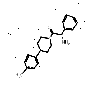 Cc1ccc(C2CCN(C(=O)[C@@H](N)c3ccccc3)CC2)cc1